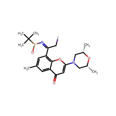 Cc1cc(/C(CI)=N\[S+]([O-])C(C)(C)C)c2oc(N3C[C@@H](C)O[C@@H](C)C3)cc(=O)c2c1